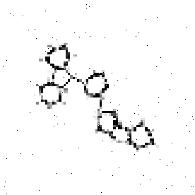 c1cc(-c2ccc3oc4ccccc4c3c2)cc(C2c3ccccc3-c3ccccc32)c1